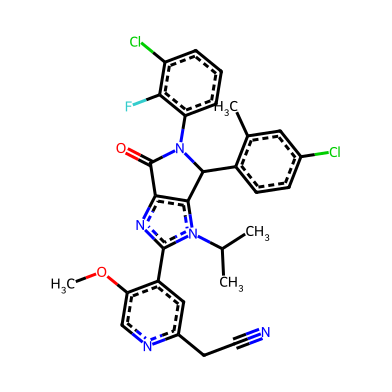 COc1cnc(CC#N)cc1-c1nc2c(n1C(C)C)C(c1ccc(Cl)cc1C)N(c1cccc(Cl)c1F)C2=O